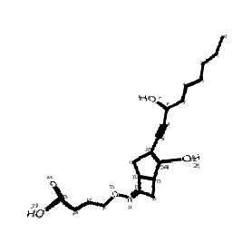 CCCCCCC(O)C#CC1CC2C(=NOCCCC(=O)O)CC2C1O